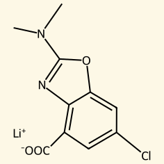 CN(C)c1nc2c(C(=O)[O-])cc(Cl)cc2o1.[Li+]